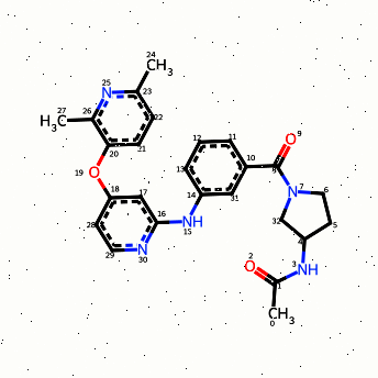 CC(=O)NC1CCN(C(=O)c2cccc(Nc3cc(Oc4ccc(C)nc4C)ccn3)c2)C1